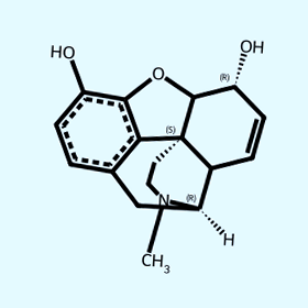 CN1CC[C@]23c4c5ccc(O)c4OC2[C@H](O)C=CC3[C@H]1C5